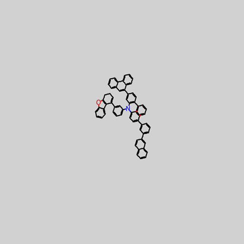 C1=C(c2cccc(N(c3ccc(-c4cccc(-c5ccc6ccccc6c5)c4)cc3)c3cc(-c4cc5ccccc5c5ccccc45)ccc3-c3ccccc3)c2)c2c(oc3ccccc23)CC1